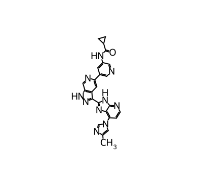 Cc1cn(-c2ccnc3[nH]c(-c4n[nH]c5cnc(-c6cncc(NC(=O)C7CC7)c6)cc45)nc23)cn1